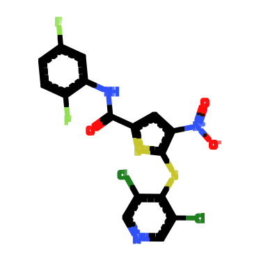 O=C(Nc1cc(F)ccc1F)c1cc([N+](=O)[O-])c(Sc2c(Cl)cncc2Cl)s1